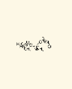 CC1CN(C(=O)c2ccc(-c3cnc(N)c(OCc4ccc(C(=O)N5CCN(Cc6ccccc6)CC5)cc4)c3)cc2)CC(C)N1